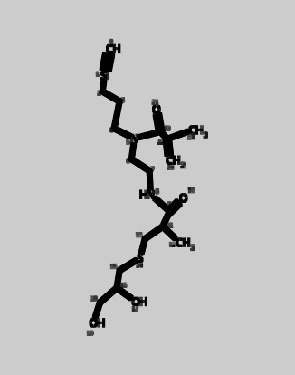 C#[Si]CCCN(CCNC(=O)C(C)CSCC(O)CO)C(=O)C(=C)C